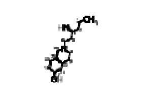 CCCC(=N)CCN1CCc2cc(O)ccc2C1